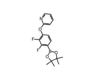 CC1(C)OB(c2ccc(Oc3ccccn3)c(F)c2F)OC1(C)C